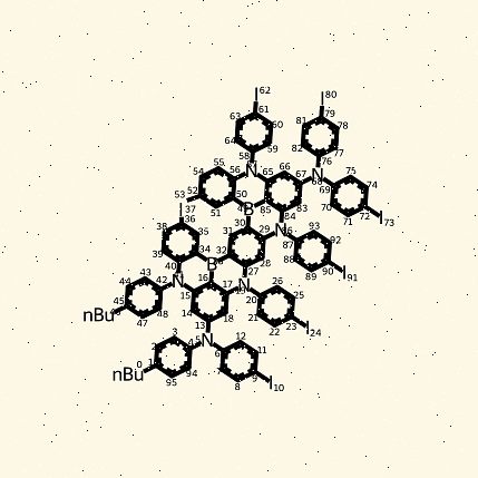 CCCCc1ccc(N(c2ccc(I)cc2)c2cc3c4c(c2)N(c2ccc(I)cc2)c2cc5c(cc2B4c2cc(I)ccc2N3c2ccc(CCCC)cc2)B2c3cc(C)ccc3N(c3ccc(I)cc3)c3cc(N(c4ccc(I)cc4)c4ccc(I)cc4)cc(c32)N5c2ccc(I)cc2)cc1